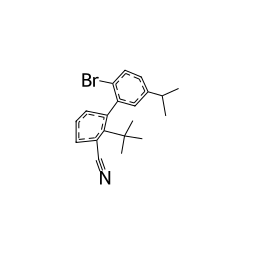 CC(C)c1ccc(Br)c(-c2cccc(C#N)c2C(C)(C)C)c1